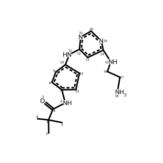 CC(C)(C)C(=O)Nc1ccc(Nc2cc(NCCN)ncn2)cc1